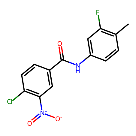 Cc1ccc(NC(=O)c2ccc(Cl)c([N+](=O)[O-])c2)cc1F